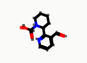 O=Cc1cccnc1C1CCCCN1C(=O)O